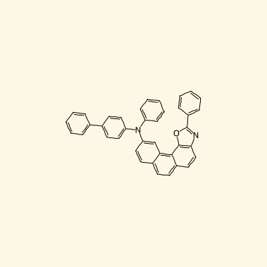 c1ccc(-c2ccc(N(c3ccccc3)c3ccc4ccc5ccc6nc(-c7ccccc7)oc6c5c4c3)cc2)cc1